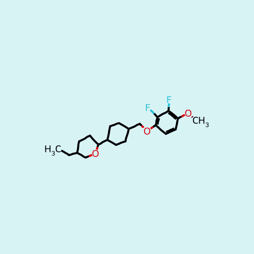 CCC1CCC(C2CCC(COc3ccc(OC)c(F)c3F)CC2)OC1